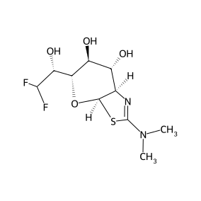 CN(C)C1=N[C@@H]2[C@@H](O)[C@H](O)[C@@H]([C@@H](O)C(F)F)O[C@@H]2S1